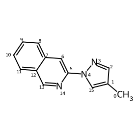 Cc1cnn(-c2cc3ccccc3cn2)c1